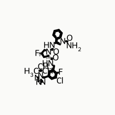 CC(C)(C)n1nnnc1-c1cc(Cl)c(F)c(CNC(=O)[C@@H]2C[C@@H](F)CN2C(=O)Nc2cn(C(N)=O)c3ccccc23)c1